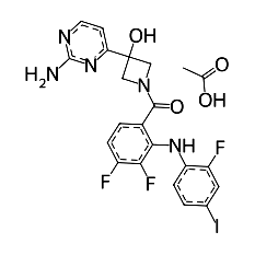 CC(=O)O.Nc1nccc(C2(O)CN(C(=O)c3ccc(F)c(F)c3Nc3ccc(I)cc3F)C2)n1